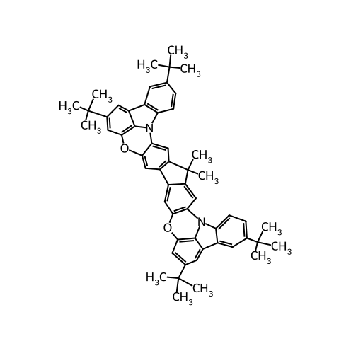 CC(C)(C)c1ccc2c(c1)c1cc(C(C)(C)C)cc3c1n2-c1cc2c(cc1O3)-c1cc3c(cc1C2(C)C)-n1c2ccc(C(C)(C)C)cc2c2cc(C(C)(C)C)cc(c21)O3